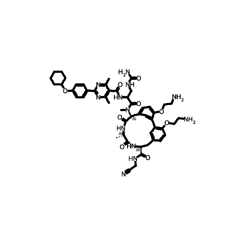 Cc1nc(-c2ccc(OC3CCCCC3)cc2)nc(C)c1C(=O)NC(CNC(N)=O)C(=O)N(C)[C@@H]1C(=O)N[C@@H](C)C(=O)N[C@H](C(=O)NCC#N)Cc2ccc(OCCN)c(c2)-c2cc1ccc2OCCN